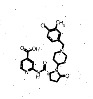 Cc1cc(CN2CCC(N3C(=O)CC[C@@H]3C(=O)Nc3cc(C(=O)O)ccn3)CC2)ccc1Cl